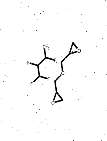 C(OCC1CO1)C1CO1.FC(F)C(F)C(F)C(F)(F)F